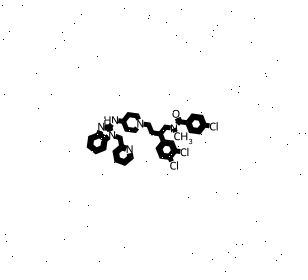 CN(CC(CCN1CCC(Nc2nc3ccccc3n2Cc2ccccn2)CC1)c1ccc(Cl)c(Cl)c1)C(=O)c1ccc(Cl)cc1